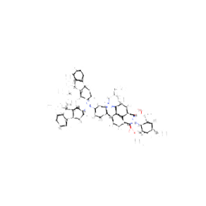 CCCCC(CC)Cn1c2cc(N(c3ccc4c(c3)C(C)(C)c3ccccc3-4)c3ccc4c(c3)C(C)(C)c3ccccc3-4)ccc2c2ccc3c(=O)n(-c4c(C)cc(C)cc4C)c(=O)c4ccc1c2c34